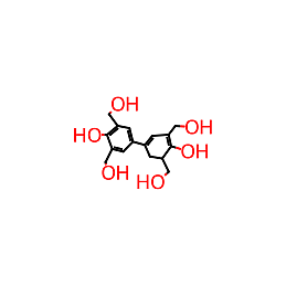 OCC1=C(O)C(CO)CC(c2cc(CO)c(O)c(CO)c2)=C1